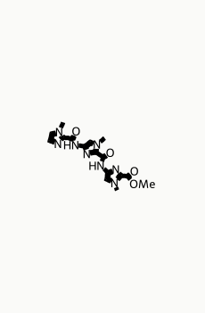 COC(=O)c1nc(NC(=O)c2nc(NC(=O)c3nccn3C)cn2C)cn1C